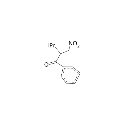 CC(C)C(C[N+](=O)[O-])C(=O)c1ccccc1